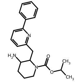 CC(C)OC(=O)N1CCCC(N)C1Cc1cccc(-c2ccccc2)n1